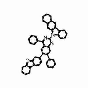 c1ccc(-c2cc3nc(-n4c5ccccc5c5cc6ccccc6cc54)nc(-c4ccccc4)c3cc2-c2ccc3c(c2)oc2ccccc23)cc1